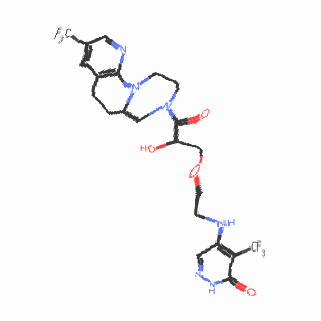 O=C(C(O)COCCNc1cn[nH]c(=O)c1C(F)(F)F)N1CCN2c3ncc(C(F)(F)F)cc3CCC2C1